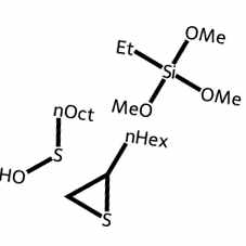 CCCCCCC1CS1.CCCCCCCCSO.CC[Si](OC)(OC)OC